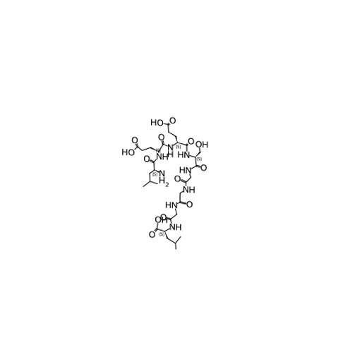 CC(C)C[C@H](NC(=O)CNC(=O)CNC(=O)CNC(=O)[C@H](CO)NC(=O)[C@H](CCC(=O)O)NC(=O)[C@H](CCC(=O)O)NC(=O)[C@@H](N)CC(C)C)C(=O)O